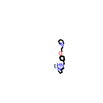 CCN1CCC/C1=C/NCc1ccc(OCCCN2CCCCC2)cc1